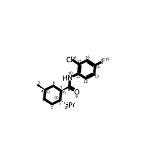 CC(C)[C@@H]1CC[C@@H](C)C[C@H]1C(=O)Nc1ccc(F)cc1Cl